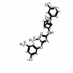 CC1=C2C(Nc3nc(Oc4cc(C)cc(Cl)c4)n(C)n3)C1CN2c1ccnc(Cl)c1